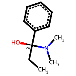 CC[C@](O)(c1ccccc1)N(C)C